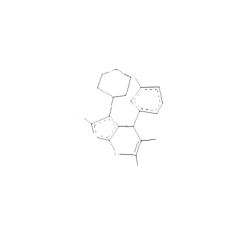 CC1=C(C(=O)O)C(c2cccc([N+](=O)[O-])c2)c2c(sc(C)c2C2CCCCC2)N1